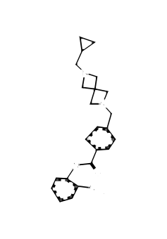 Nc1ccccc1NC(=O)c1ccc(CN2CC3(C2)CN(CC2CC2)C3)cc1